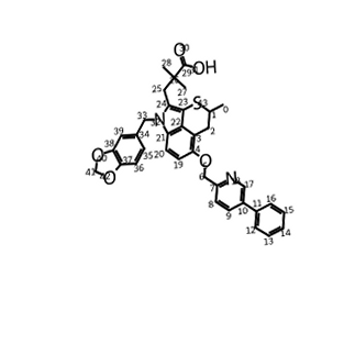 CC1Cc2c(OCc3ccc(-c4ccccc4)cn3)ccc3c2c(c(CC(C)(C)C(=O)O)n3Cc2ccc3c(c2)OCO3)S1